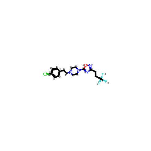 FC(F)(F)CCc1noc(N2CCN(CCc3ccc(Cl)cc3)CC2)n1